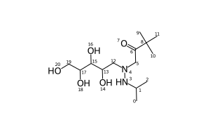 CC(C)NN(CC(=O)C(C)(C)C)CC(O)C(O)C(O)CO